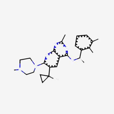 Cc1nc(N[C@H](C)c2cccc(C(F)(F)F)c2C)c2cc(C3(C#N)CC3)c(N3CCN(C(C)C)CC3)nc2n1